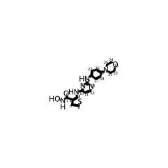 O=C(NO)c1ccsc1Nc1ccnc(Nc2ccc(N3CCOCC3)cc2)n1